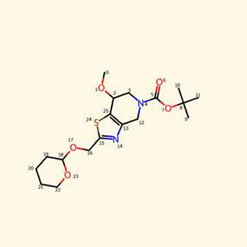 COC1CN(C(=O)OC(C)(C)C)Cc2nc(COC3CCCCO3)sc21